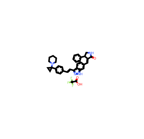 O=C(O)C(F)(F)F.O=C1NCC(c2ccccc2)/C1=C\c1ccc2c(/C=C/c3ccc(C4(N5CCCCC5)CC4)cc3)n[nH]c2c1